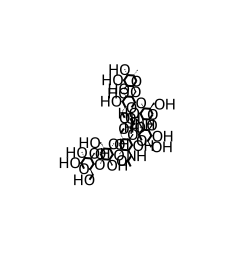 CC(=O)N[C@H]1[C@H](O[C@H]2[C@@H](O)[C@@H](CO)O[C@@H](O[C@H]3[C@H](O)[C@@H](O)[C@H](O)O[C@@H]3CO)[C@@H]2O)O[C@H](CO)[C@@H](O[C@@H]2O[C@H](CO)[C@H](O)[C@H](O[C@@H]3O[C@H](CO)[C@@H](O[C@@H]4O[C@H](CO)[C@H](O)[C@H](O)[C@H]4O[C@@H]4O[C@@H](C)[C@@H](O)[C@@H](O)[C@@H]4O)[C@H](O)[C@H]3NC(C)=O)[C@H]2O)[C@@H]1O